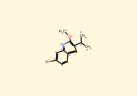 COc1nc2cc(Br)ccc2cc1C(C)C